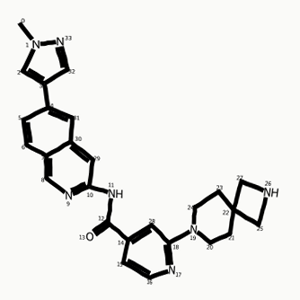 Cn1cc(-c2ccc3cnc(NC(=O)c4ccnc(N5CCC6(CC5)CNC6)c4)cc3c2)cn1